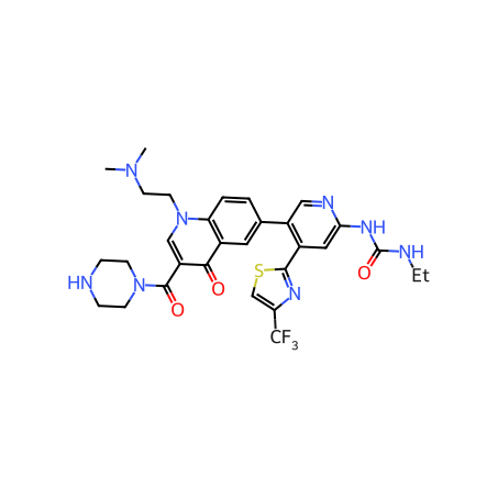 CCNC(=O)Nc1cc(-c2nc(C(F)(F)F)cs2)c(-c2ccc3c(c2)c(=O)c(C(=O)N2CCNCC2)cn3CCN(C)C)cn1